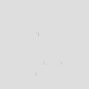 CCN(C=O)CCN1CCOCC1